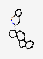 C1=Cc2ccccc2SN=C1C1=c2ccc3c(c2CCC1)CC=c1ccccc1=3